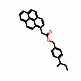 CCC(C)c1ccc(COC(=O)Cc2ccc3ccc4cccc5ccc2c3c45)cc1